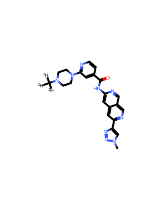 [2H]C([2H])([2H])N1CCN(c2cc(C(=O)Nc3cc4cc(-c5cn(C)nn5)ncc4cn3)ccn2)CC1